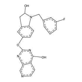 Oc1nc(Oc2ccc3c(c2)CC(O)N3Cc2cccc(F)c2)nc2cnccc12